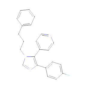 Fc1ccc(-c2ncn(CCCc3ccccc3)c2-c2ccncc2)cc1